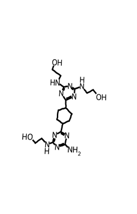 Nc1nc(NCCO)nc(C2CCC(c3nc(NCCO)nc(NCCO)n3)CC2)n1